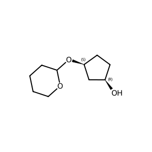 O[C@@H]1CC[C@H](OC2CCCCO2)C1